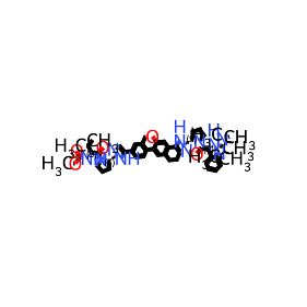 COC(=O)N[C@H](C(=O)N1CCC[C@H]1c1ncc(-c2ccc3c(c2)COc2cc4c(cc2-3)CCc2nc([C@@H]3CCCN3C(=O)[C@H](NC(C)(N(C)C)N(C)C)c3ccccc3)[nH]c2-4)[nH]1)C(C)C